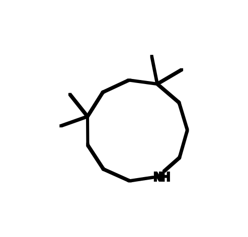 CC1(C)CCCNCCCC(C)(C)CC1